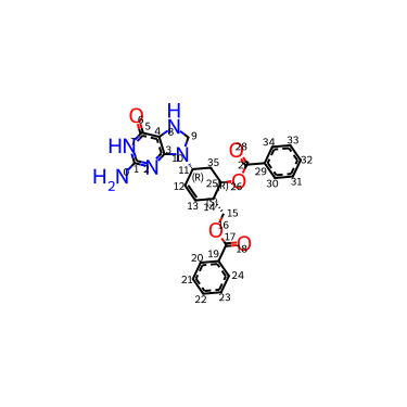 Nc1nc2c(c(=O)[nH]1)NCN2[C@H]1C=C[C@@H](COC(=O)c2ccccc2)[C@H](OC(=O)c2ccccc2)C1